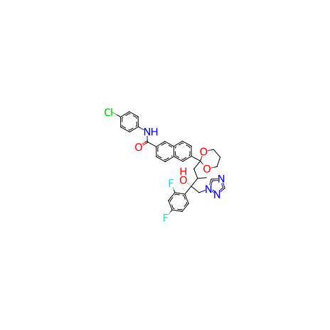 CC(CC1(c2ccc3cc(C(=O)Nc4ccc(Cl)cc4)ccc3c2)OCCCO1)[C@@](O)(Cn1cncn1)c1ccc(F)cc1F